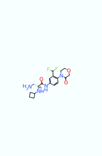 NC[C@@H](NC1CCC1)C(=O)Nc1ccc(N2CCOCC2=O)c(C(F)F)c1